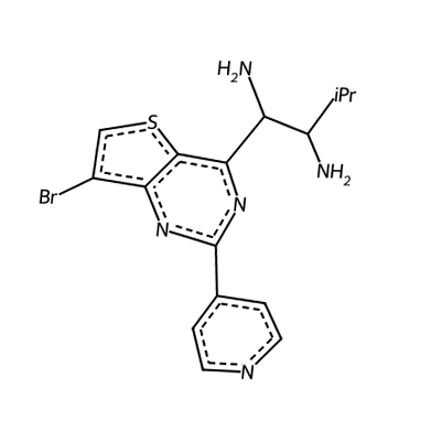 CC(C)C(N)C(N)c1nc(-c2ccncc2)nc2c(Br)csc12